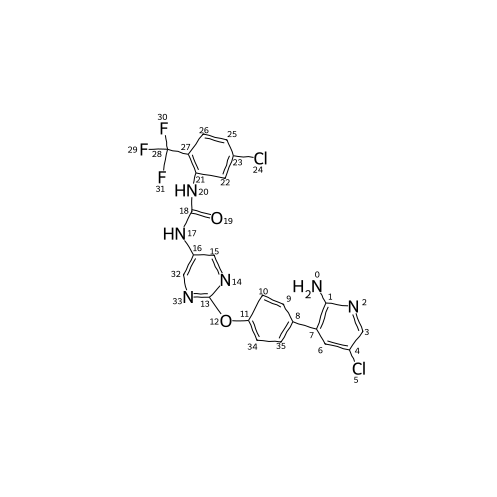 Nc1ncc(Cl)cc1-c1ccc(Oc2ncc(NC(=O)Nc3cc(Cl)ccc3C(F)(F)F)cn2)cc1